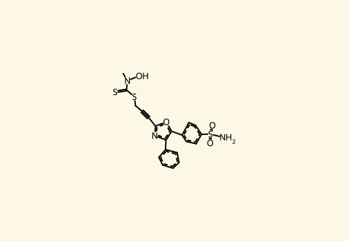 CN(O)C(=S)SCC#Cc1nc(-c2ccccc2)c(-c2ccc(S(N)(=O)=O)cc2)o1